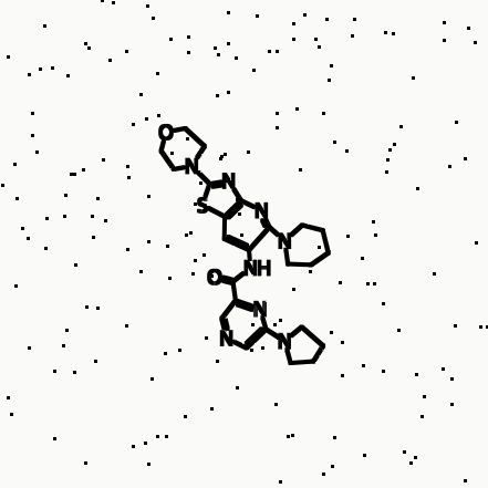 O=C(Nc1cc2sc(N3CCOCC3)nc2nc1N1CCCCC1)c1cncc(N2CCCC2)n1